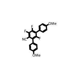 COc1ccc(-c2c(F)c(F)c(C#N)c(-c3ccc(OC)cc3)c2F)cc1